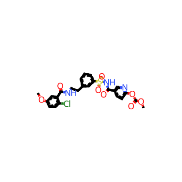 COC(=O)Oc1ccc(C(=O)NS(=O)(=O)c2cccc(CCNC(=O)c3cc(OC)ccc3Cl)c2)cn1